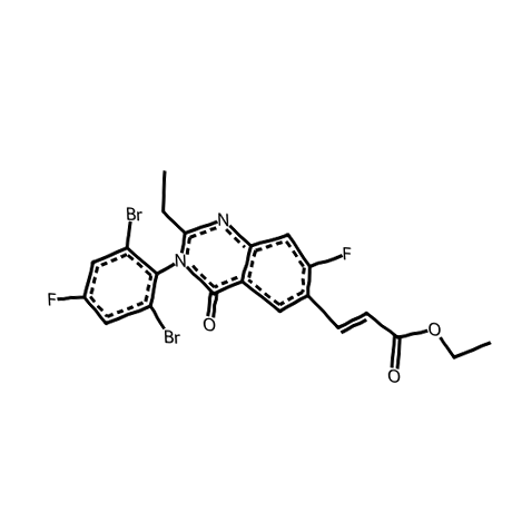 CCOC(=O)/C=C/c1cc2c(=O)n(-c3c(Br)cc(F)cc3Br)c(CC)nc2cc1F